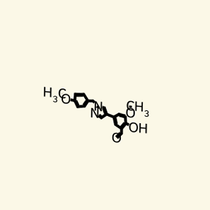 COc1ccc(Cn2cc(-c3cc(C=O)c(O)c(OC)c3)cn2)cc1